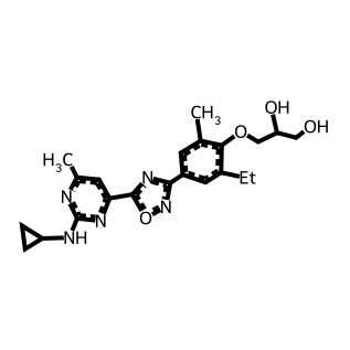 CCc1cc(-c2noc(-c3cc(C)nc(NC4CC4)n3)n2)cc(C)c1OCC(O)CO